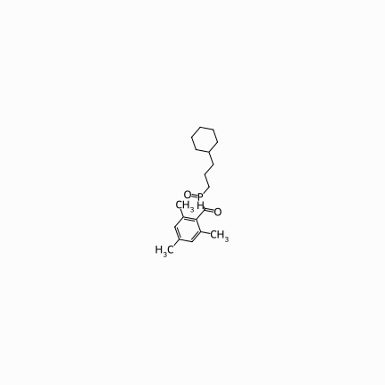 Cc1cc(C)c(C(=O)[PH](=O)CCCC2CCCCC2)c(C)c1